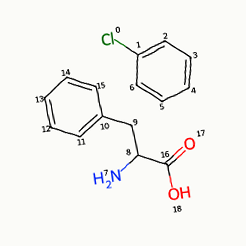 Clc1ccccc1.NC(Cc1ccccc1)C(=O)O